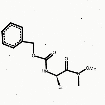 CC[C@@H](NC(=O)OCc1ccccc1)C(=O)N(C)OC